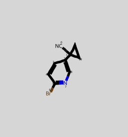 N#CC1(c2ccc(Br)nc2)CC1